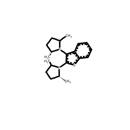 CC1CC[C@@H](C)P1c1sc2ccccc2c1P1C(C)CC[C@H]1C